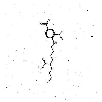 NCCCC(CCCCNc1ccc([N+](=O)[O-])cc1[N+](=O)[O-])C(N)=O